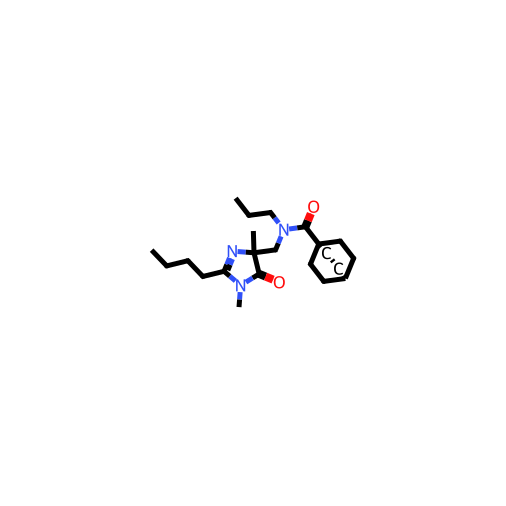 CCCCC1=NC(C)(CN(CCC)C(=O)C23CCC(CC2)CC3)C(=O)N1C